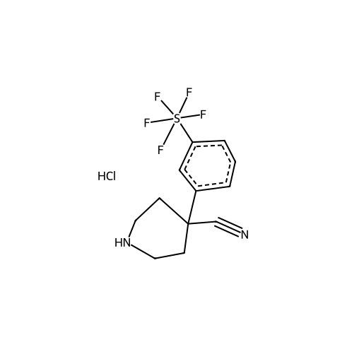 Cl.N#CC1(c2cccc(S(F)(F)(F)(F)F)c2)CCNCC1